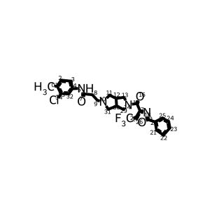 Cc1ccc(NC(=O)CCN2CC3CN(C(=O)c4nc(-c5ccccc5)oc4C(F)(F)F)CC3C2)cc1Cl